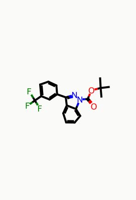 CC(C)(C)OC(=O)n1nc(-c2cccc(C(F)(F)F)c2)c2ccccc21